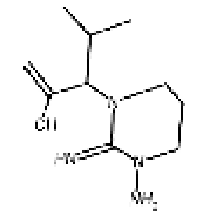 C=C(O)C(C(C)C)N1CCCN(N)C1=N